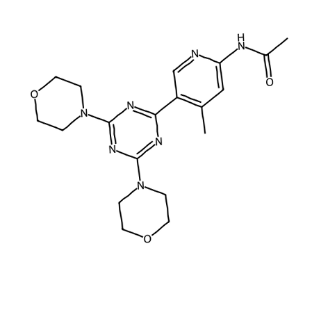 CC(=O)Nc1cc(C)c(-c2nc(N3CCOCC3)nc(N3CCOCC3)n2)cn1